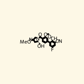 CO/N=C1\C[C@@H](CO)N(C(=O)c2ccc(-c3cc(F)cc(C#N)c3C)c3c2OCO3)C1